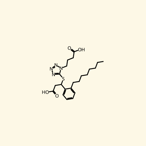 CCCCCCCCc1ccccc1C(CC(=O)O)Sc1nnnn1CCCC(=O)O